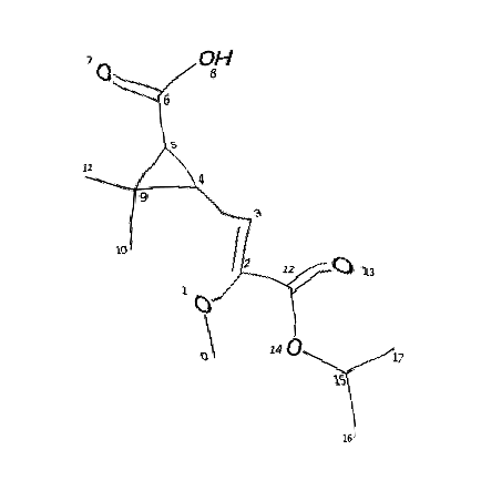 COC(=CC1C(C(=O)O)C1(C)C)C(=O)OC(C)C